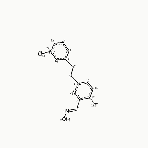 ON=Cc1nc(CCc2ccc[n+](Cl)c2)ccc1F